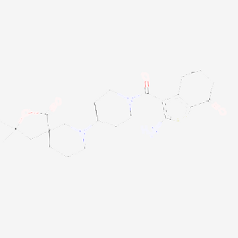 CC1(C)CC2(CCCN(C3CCN(C(=O)c4c(N)sc5c4CCCC5=O)CC3)C2)C(=O)O1